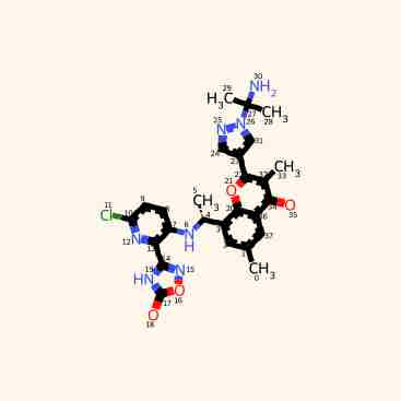 Cc1cc([C@@H](C)Nc2ccc(Cl)nc2-c2noc(=O)[nH]2)c2oc(-c3cnn(C(C)(C)N)c3)c(C)c(=O)c2c1